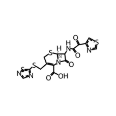 O=C(O)C1=C(CSc2ncns2)CS[C@H]2C(NC(=O)C(=O)c3cscn3)C(=O)N12